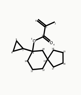 C=C(C)C(=O)OC1(C2CC2)CCCC2(CCCC2)C1